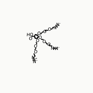 [N-]=[N+]=NCCOCCOCCOc1cc(C(=O)O)cc(OCCOCCOCCN=[N+]=[N-])c1OCCOCCOCCN=[N+]=[N-]